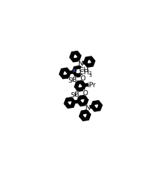 C=C(/C=C1\C2=C(C)Oc3c(cc4c(c3C(C)C)Oc3cc(N(c5ccccc5)c5ccccc5)cc5c3B4Sc3ccccc3-5)B2Sc2ccccc21)N(c1ccccc1)c1ccccc1